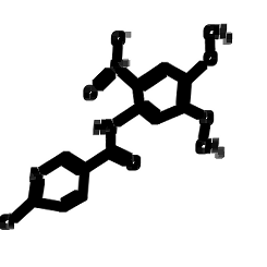 COc1cc(NC(=O)c2ccc(Cl)nc2)c([N+](=O)[O-])cc1OC